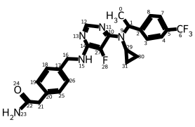 CC(c1ccc(C(F)(F)F)cc1)N(c1ncnc(NCc2ccc(CC(N)=O)cc2)c1F)C1CC1